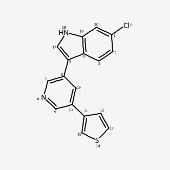 Clc1ccc2c(-c3cncc(-c4ccsc4)c3)c[nH]c2c1